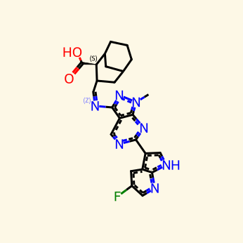 Cn1nc(/N=C\C2CC3CCCC(C3)[C@@H]2C(=O)O)c2cnc(-c3c[nH]c4ncc(F)cc34)nc21